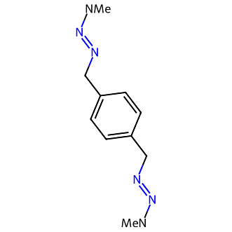 CNN=NCc1ccc(CN=NNC)cc1